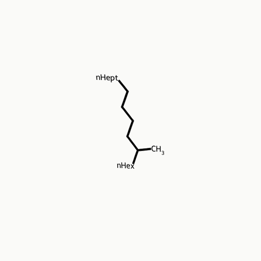 [CH2]CCCCCCCCCCC(C)CCCCCC